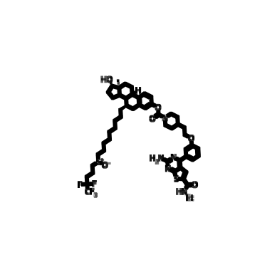 CCNC(=O)c1cc2c(-c3cccc(OCCC4CCN(C(=O)Oc5ccc6c(c5)C[C@@H](CCCCCCCCC[S+]([O-])CCCC(F)(F)C(F)(F)F)C5C7CC[C@H](O)[C@@]7(C)CC[C@H]65)CC4)c3)nc(N)nc2s1